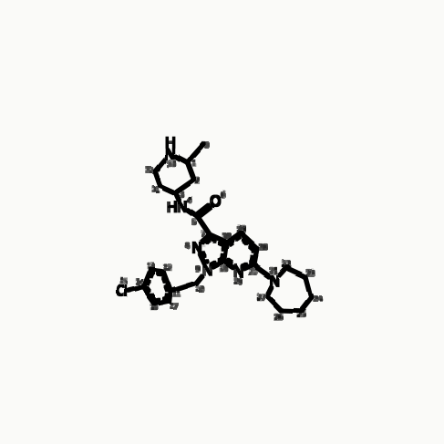 CC1CC(NC(=O)c2nn(Cc3ccc(Cl)cc3)c3nc(N4CCCCCC4)ccc23)CCN1